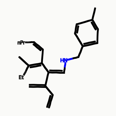 C=CC(=C)C(=C/NCc1ccc(C)cc1)/C(/C=C\CCC)=C(/C)CC